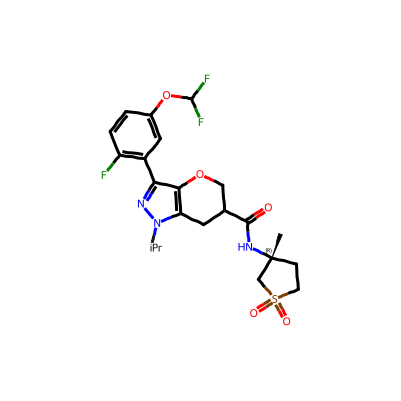 CC(C)n1nc(-c2cc(OC(F)F)ccc2F)c2c1CC(C(=O)N[C@]1(C)CCS(=O)(=O)C1)CO2